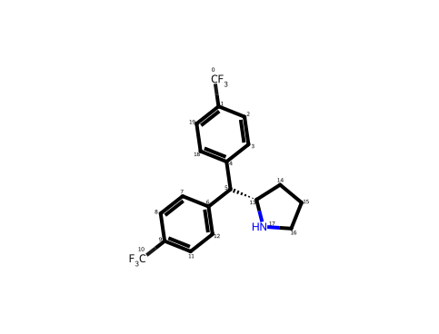 FC(F)(F)c1ccc(C(c2ccc(C(F)(F)F)cc2)[C@@H]2CCCN2)cc1